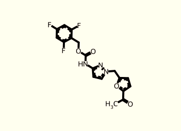 CC(=O)c1ccc(Cn2ccc(NC(=O)OCc3c(F)cc(F)cc3F)n2)o1